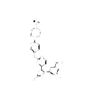 CCc1nc(-c2cc(C)cc(CO)c2)c(-c2ccnc(Nc3ccc(N4CCN(S(C)(=O)=O)CC4)nc3)n2)s1